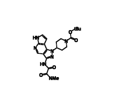 CNC(=O)C(=O)Nc1nn(C2CCN(C(=O)OC(C)(C)C)CC2)c2c1cnc1[nH]ccc12